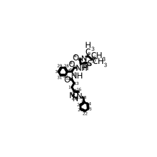 C[C@@H]1N2C(=O)[C@@H](NC(=O)[C@H](NC(=O)CCc3cn(Cc4ccccc4)nn3)c3ccccc3)[C@H]2SC1(C)C